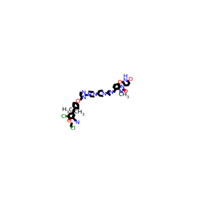 Cn1c(=O)n(C2CCC(=O)NC2=O)c2cccc(CN3CC(N4CCC(N5CCN(c6nccc(COc7ccc(C(C)(C)c8cc(Cl)c(OCCCl)c(C#N)c8)cc7)n6)CC5)CC4)C3)c21